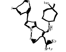 C[C@]1(O)CC[C@H](Nc2c(C(N)=O)cnn3cc(-c4cncc(F)c4)cc23)CC1